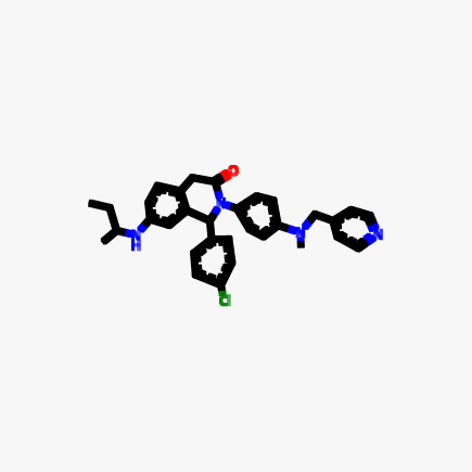 CCC(C)Nc1ccc2c(c1)C(c1ccc(Cl)cc1)N(c1ccc(N(C)Cc3ccncc3)cc1)C(=O)C2